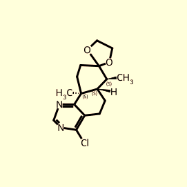 C[C@H]1[C@@H]2CCc3c(Cl)ncnc3[C@@]2(C)CCC12OCCO2